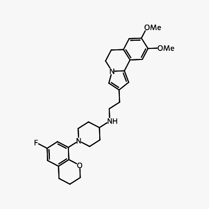 COc1cc2c(cc1OC)-c1cc(CCNC3CCN(c4cc(F)cc5c4OCCC5)CC3)cn1CC2